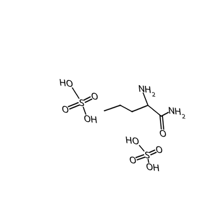 CCCC(N)C(N)=O.O=S(=O)(O)O.O=S(=O)(O)O